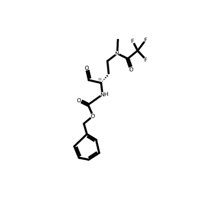 CN(CC[C@@H](C=O)NC(=O)OCc1ccccc1)C(=O)C(F)(F)F